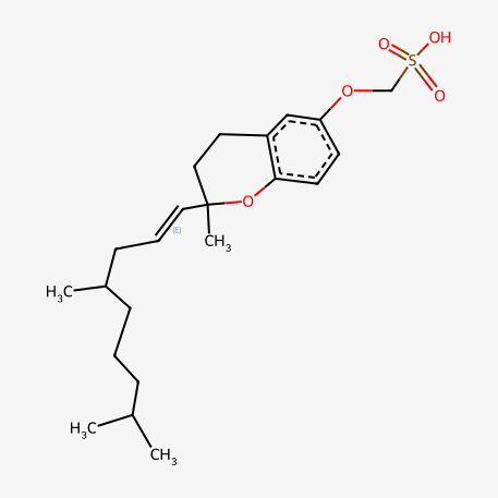 CC(C)CCCC(C)C/C=C/C1(C)CCc2cc(OCS(=O)(=O)O)ccc2O1